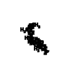 Cc1c(-c2ncnc3[nH]c(-c4ccc(C5CN(C)CCN5C)cc4)cc23)cccc1-n1ncc2cc(C3CC3)ccc2c1=O